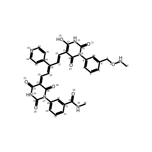 CNOCc1cccc(-n2c(=O)[nH]c(O)c(C=CC(=CC=C3C(=O)NC(=O)N(c4cccc(C(=O)NC)c4)C3=O)c3ccncc3)c2=O)c1